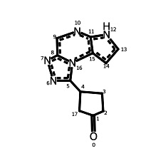 O=C1CCC(c2nnc3cnc4[nH]ccc4n23)C1